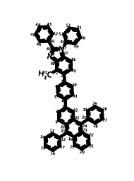 Cc1c(-c2ccc(-c3ccc4c(-c5ccccc5)c5ccccc5c(-c5ccccc5)c4c3)cc2)ccc2c1nc(-c1ccccc1)n2-c1ccccc1